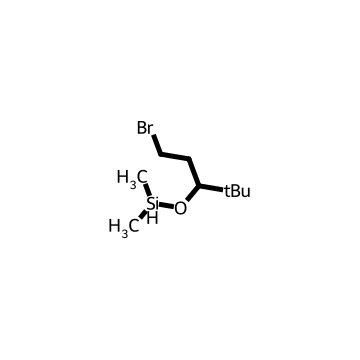 C[SiH](C)OC(CCBr)C(C)(C)C